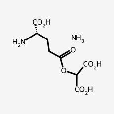 N.N[C@@H](CCC(=O)OC(C(=O)O)C(=O)O)C(=O)O